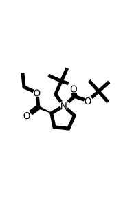 CCOC(=O)[C@@H]1CCC[N+]1(CC(C)(C)C)C(=O)OC(C)(C)C